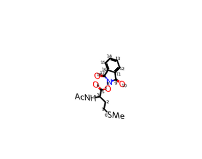 CSCCC(NC(C)=O)C(=O)ON1C(=O)c2ccccc2C1=O